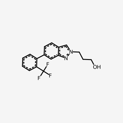 OCCCn1cc2ccc(-c3ccccc3C(F)(F)F)cc2n1